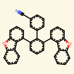 N#Cc1cccc(-c2c(-c3cccc4oc5ccccc5c34)cccc2-c2cccc3oc4ccccc4c23)c1